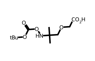 CC(C)(COCC(=O)O)NOC(=O)OC(C)(C)C